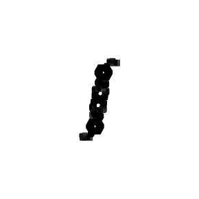 CC(C)(C)c1ccc(CP2(=O)OCC3(CO2)COP(=O)(Cc2ccc(C(C)(C)C)cc2)OC3)cc1